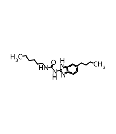 CCCCCCNC(=O)Nc1nc2ccc(CCCC)cc2[nH]1